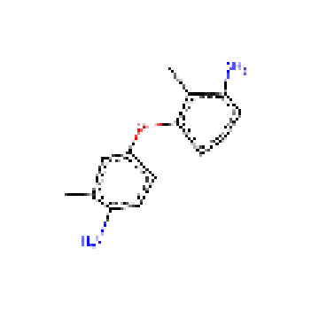 Cc1cc(Oc2cccc(N)c2C)ccc1N